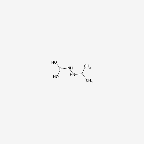 CC(C)NNP(O)O